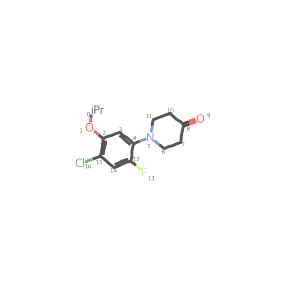 CC(C)Oc1cc(N2CCC(=O)CC2)c(F)cc1Cl